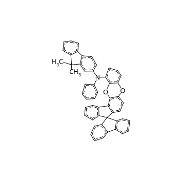 CC1(C)c2ccccc2-c2ccc(N(c3ccccc3)c3cccc4c3Oc3c(ccc5c3-c3ccccc3C53c5ccccc5-c5ccccc53)O4)cc21